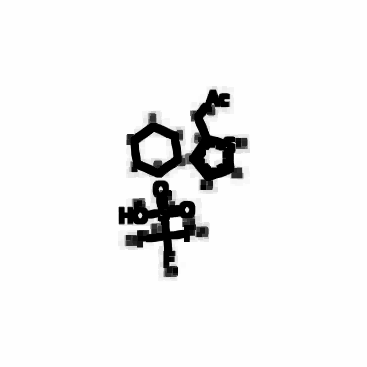 C1CCCCC1.CC(=O)Cc1cccs1.O=S(=O)(O)C(F)(F)F